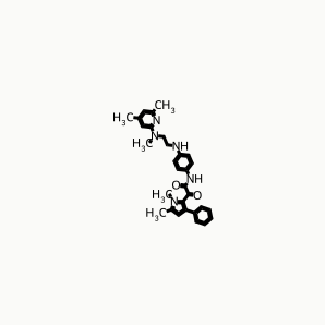 Cc1cc(C)nc(N(C)CCNc2ccc(NC(=O)C(=O)c3c(-c4ccccc4)cc(C)n3C)cc2)c1